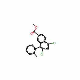 COC(=O)c1ccc2c(Cl)cc(Cl)c(-c3ccccc3C)c2c1